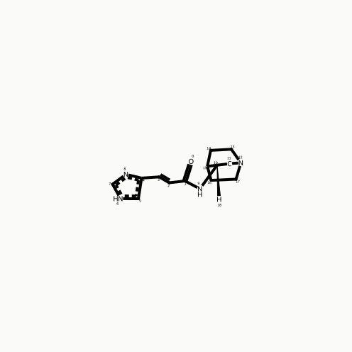 O=C(/C=C/c1c[nH]cn1)N[C@H]1CN2CCC1CC2